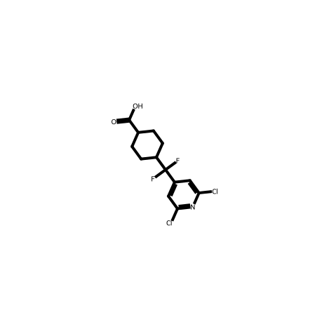 O=C(O)C1CCC(C(F)(F)c2cc(Cl)nc(Cl)c2)CC1